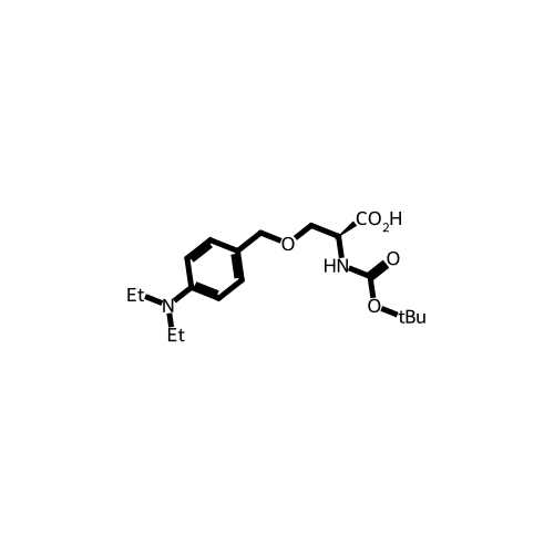 CCN(CC)c1ccc(COC[C@H](NC(=O)OC(C)(C)C)C(=O)O)cc1